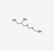 SCSCSCC(S)CS